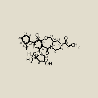 C=CC(=O)N1CCN2C(=O)c3c(N4CC(O)CC4(C)C)nc(-c4ccccc4F)c(Cl)c3OCC2C1